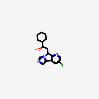 OC(CC1c2ncc(F)cc2-c2cncn21)C1CCCCC1